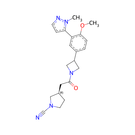 COc1ccc(C2CN(C(=O)C[C@H]3CCN(C#N)C3)C2)cc1-c1ccnn1C